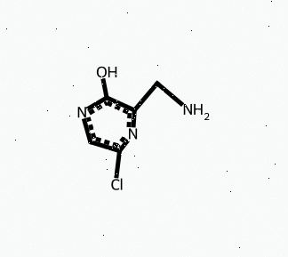 NCc1nc(Cl)cnc1O